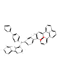 c1ccc(-c2ccc(N(c3ccc4c(c3)oc3cc(-c5cccc6cccc(-c7ccccc7)c56)ccc34)c3cccc4c3sc3ccccc34)cc2)cc1